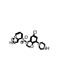 O=S(=O)(C1=CC=CN2ONC=C12)N1CCOc2c(N3CCNCC3)cc(Cl)cc21